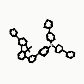 CC1(C)c2ccc(-c3ccccc3)cc2-c2cccc(-c3cccc(-c4ccc(N(C5=CC=C(c6ccccc6)CC5)c5ccc(-c6ccccc6)cc5)cc4)c3)c21